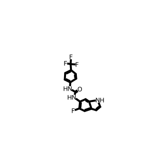 O=C(Nc1ccc(C(F)(F)F)cc1)Nc1cc2[nH]ccc2cc1F